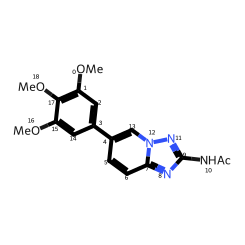 COc1cc(-c2ccc3nc(NC(C)=O)nn3c2)cc(OC)c1OC